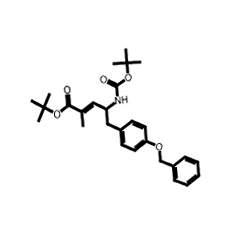 CC(=CC(Cc1ccc(OCc2ccccc2)cc1)NC(=O)OC(C)(C)C)C(=O)OC(C)(C)C